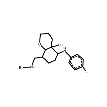 CCNCC1CCC(Nc2ccc(F)cc2)C2(O)CCCOC12